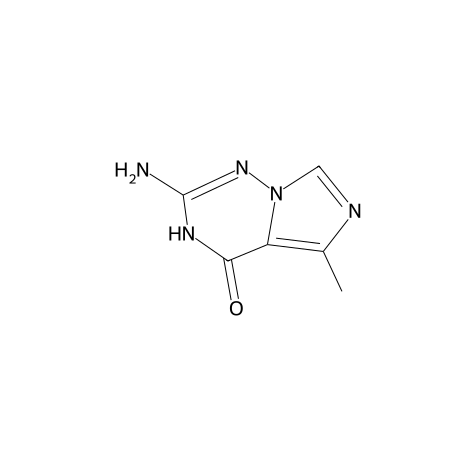 Cc1ncn2nc(N)[nH]c(=O)c12